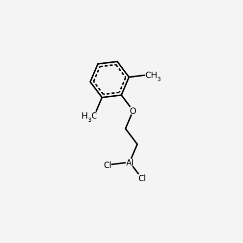 Cc1cccc(C)c1OC[CH2][Al]([Cl])[Cl]